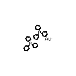 [Au].c1ccc(P(c2ccccc2)c2ccccc2)cc1.c1ccc(P(c2ccccc2)c2ccccc2)cc1